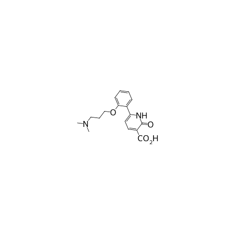 CN(C)CCCOc1ccccc1-c1ccc(C(=O)O)c(=O)[nH]1